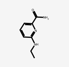 CCNc1cccc(C(N)=O)n1